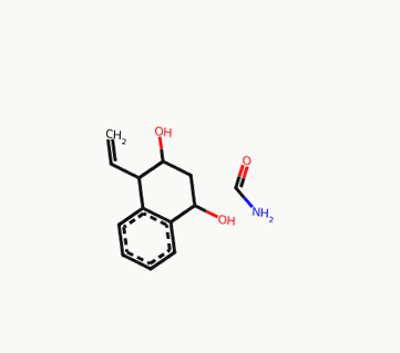 C=CC1c2ccccc2C(O)CC1O.NC=O